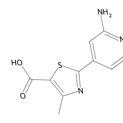 Cc1nc(-c2ccnc(N)c2)sc1C(=O)O